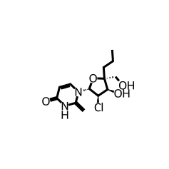 C=C1NC(=O)C=CN1[C@@H]1O[C@@](CO)(CCC)[C@@H](O)[C@H]1Cl